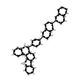 c1ccc2cc(-c3ccc4cc(-c5ccc(-c6nc7ccccc7c7c6ccc6c8ccccc8oc67)cc5)ccc4c3)ccc2c1